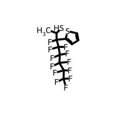 CC(S)C(F)(c1cccs1)C(F)(F)C(F)(F)C(F)(F)C(F)(F)C(F)(F)F